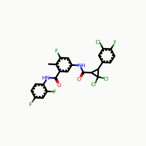 Cc1c(F)cc(NC(=O)C2C(c3ccc(F)c(Cl)c3)C2(Cl)Cl)cc1C(=O)Nc1ccc(F)cc1F